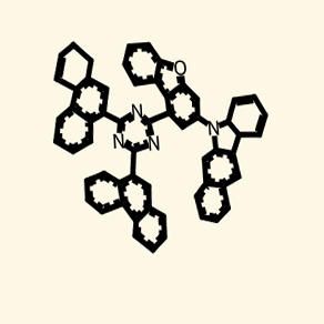 C1=CC2c3cc4ccccc4cc3N(c3cc(-c4nc(-c5cc6c(c7ccccc57)C=CCC6)nc(-c5cc6ccccc6c6ccccc56)n4)c4c(c3)oc3ccccc34)C2C=C1